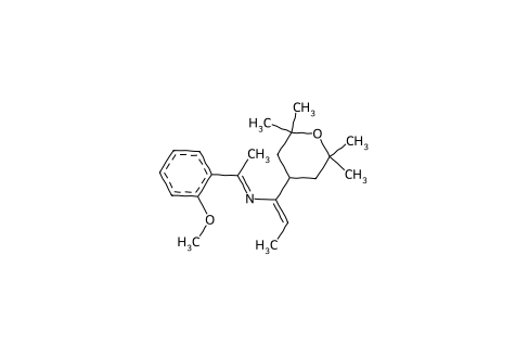 C/C=C(\N=C(/C)c1ccccc1OC)C1CC(C)(C)OC(C)(C)C1